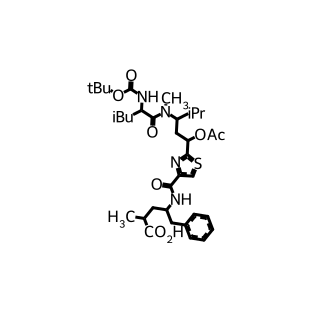 CCC(C)C(NC(=O)OC(C)(C)C)C(=O)N(C)C(CC(OC(C)=O)c1nc(C(=O)NC(Cc2ccccc2)CC(C)C(=O)O)cs1)C(C)C